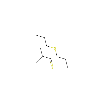 CC(C)C=S.CCCSCCC